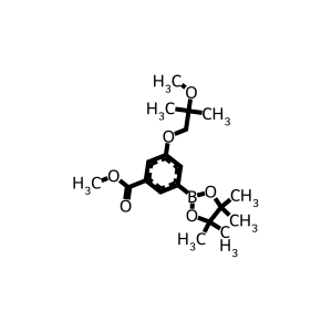 COC(=O)c1cc(OCC(C)(C)OC)cc(B2OC(C)(C)C(C)(C)O2)c1